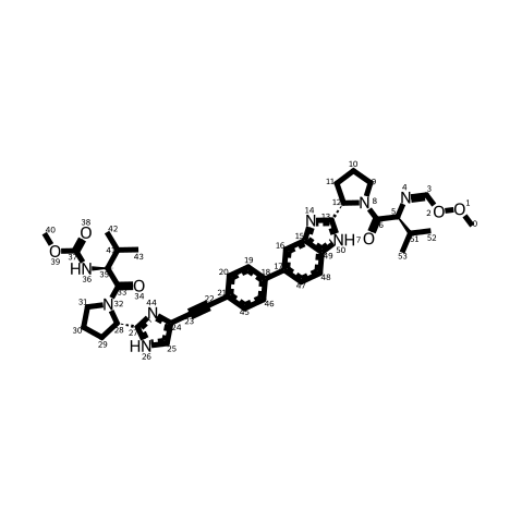 COO/C=N\[C@H](C(=O)N1CCC[C@H]1c1nc2cc(-c3ccc(C#Cc4c[nH]c([C@@H]5CCCN5C(=O)[C@@H](NC(=O)OC)C(C)C)n4)cc3)ccc2[nH]1)C(C)C